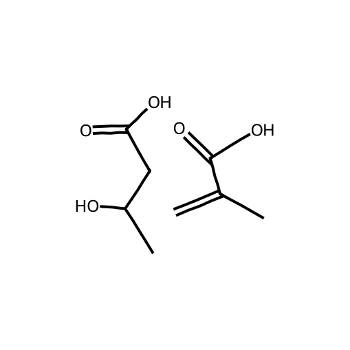 C=C(C)C(=O)O.CC(O)CC(=O)O